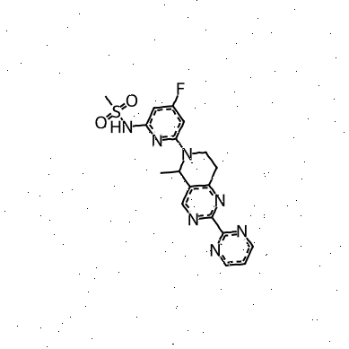 CC1c2cnc(-c3ncccn3)nc2CCN1c1cc(F)cc(NS(C)(=O)=O)n1